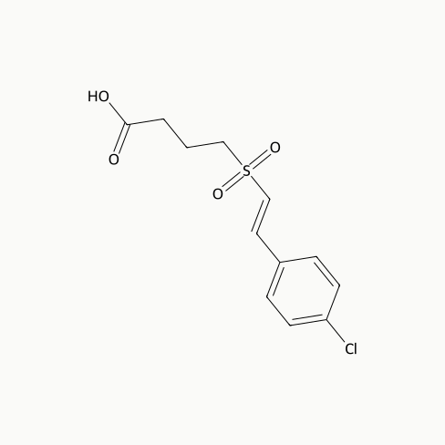 O=C(O)CCCS(=O)(=O)C=Cc1ccc(Cl)cc1